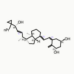 C=C1/C(=C\C=C2/CCC[C@]3(C)[C@@H]([C@H](C)/C=C/[C@@H](O)C4(CCC)CC4)CC[C@@H]23)C[C@@H](O)C[C@@H]1O